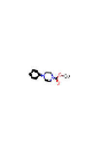 CC(C)(C)OC(=O)N1CCN(c2c[c]ccc2)CC1